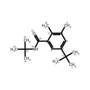 Cc1cc(C(C)(C)C)cc(C(=O)NC(C)(C)C)c1C